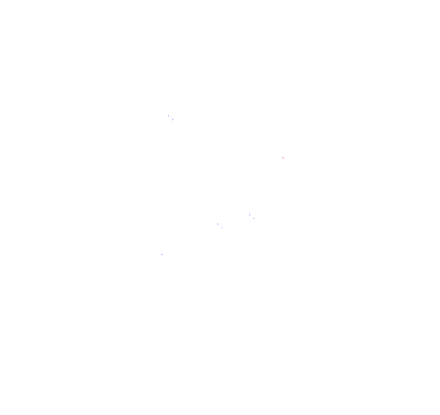 Cc1nc2c(C(=O)O)cc(-c3ccncc3)cc2n1-c1ccnc2c(Cl)cccc12